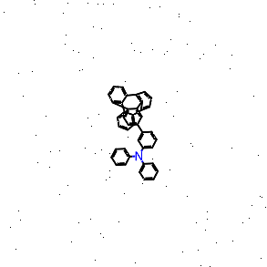 c1ccc(N(c2ccccc2)c2cccc(-c3ccc4c(c3)-c3c5cccc3-c3cccc-4c3-c3ccccc3-5)c2)cc1